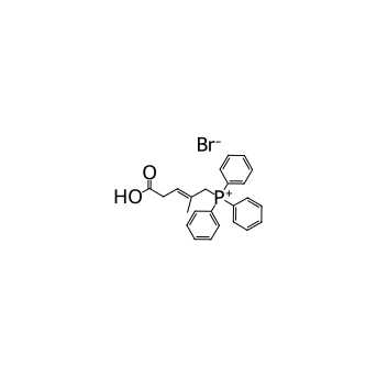 CC(=CCC(=O)O)C[P+](c1ccccc1)(c1ccccc1)c1ccccc1.[Br-]